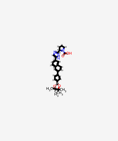 CC1(C)OB(c2ccc(-c3ccc4cc(-c5cnc(C6CCCN6C(=O)O)[nH]5)ccc4c3)cc2)OC1(C)C